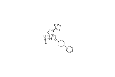 COC(=O)N1CC[C@H](NS(C)(=O)=O)[C@@H]1COC1CCC(c2ccccc2)CC1